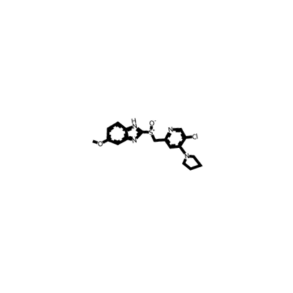 COc1ccc2[nH]c([S+]([O-])Cc3cc(N4CCCC4)c(Cl)cn3)nc2c1